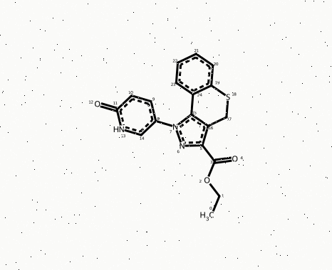 CCOC(=O)c1nn(-c2ccc(=O)[nH]c2)c2c1CSc1ccccc1-2